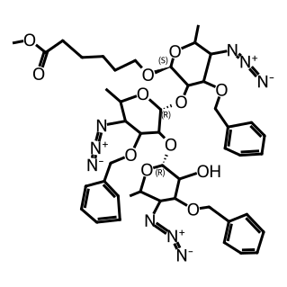 COC(=O)CCCCCO[C@H]1OC(C)C(N=[N+]=[N-])C(OCc2ccccc2)C1O[C@H]1OC(C)C(N=[N+]=[N-])C(OCc2ccccc2)C1O[C@H]1OC(C)C(N=[N+]=[N-])C(OCc2ccccc2)C1O